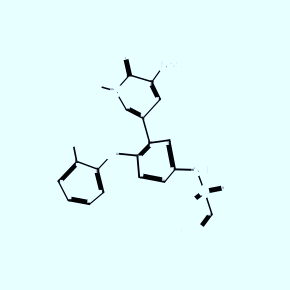 C=CS(=O)(=O)Nc1ccc(Oc2ccccc2F)c(-c2cc(NC)c(=O)n(C)c2)c1